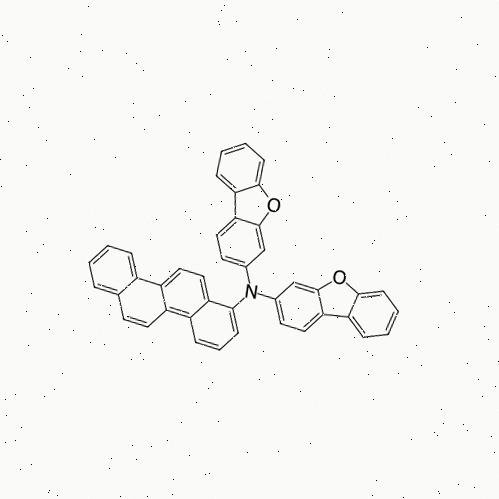 c1ccc2c(c1)ccc1c3cccc(N(c4ccc5c(c4)oc4ccccc45)c4ccc5c(c4)oc4ccccc45)c3ccc21